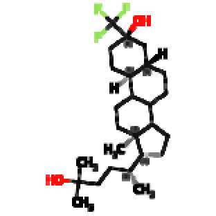 C[C@H](CCC(C)(C)O)[C@H]1CCC2C3CC[C@H]4C[C@@](O)(C(F)(F)F)CC[C@@H]4C3CC[C@@]21C